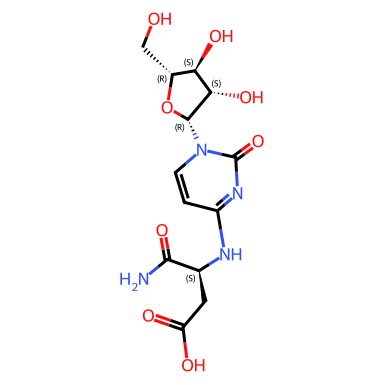 NC(=O)[C@H](CC(=O)O)Nc1ccn([C@@H]2O[C@H](CO)[C@@H](O)[C@@H]2O)c(=O)n1